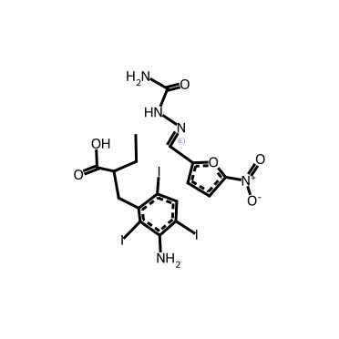 CCC(Cc1c(I)cc(I)c(N)c1I)C(=O)O.NC(=O)N/N=C/c1ccc([N+](=O)[O-])o1